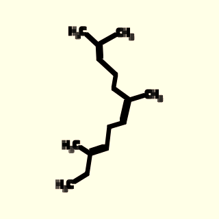 CC/C(C)=C/C/C=C(/C)CCC=C(C)C